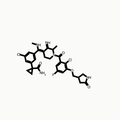 CN/C(=C1/CCN(C(=O)c2cc(F)cc(OCC3CNC(=O)C3)c2Cl)C(C)C1=N)c1cc(Cl)cc(C2(C(N)=O)CC2)c1